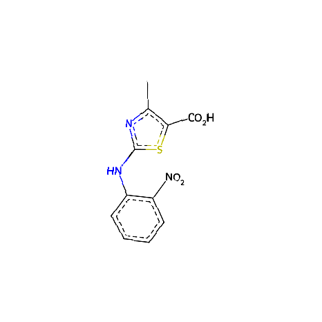 Cc1nc(Nc2ccccc2[N+](=O)[O-])sc1C(=O)O